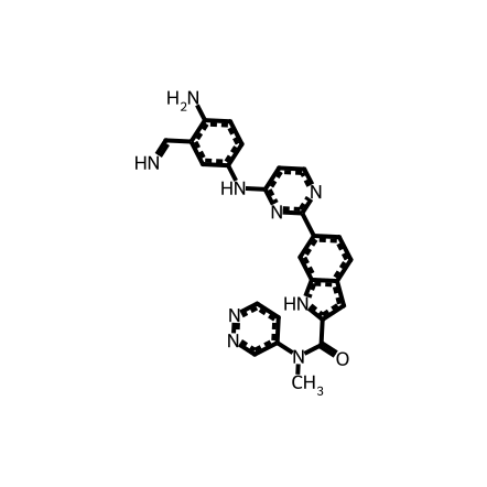 CN(C(=O)c1cc2ccc(-c3nccc(Nc4ccc(N)c(C=N)c4)n3)cc2[nH]1)c1ccnnc1